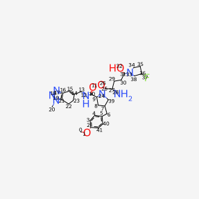 COc1ccc(CC2CC(C(=O)NCC3=Cc4nnn(C)c4CC3)N(C(=O)C(N)CCC(O)N3CCC(F)C3)C2)cc1